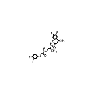 C=C(CCNC(=O)COc1ccc(F)c(F)c1)NC(=O)[C@@H]1C[C@H](O)c2cc(F)c(F)cc2O1